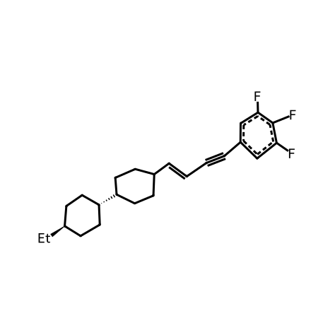 CC[C@H]1CC[C@H](C2CCC(/C=C/C#Cc3cc(F)c(F)c(F)c3)CC2)CC1